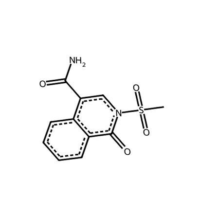 CS(=O)(=O)n1cc(C(N)=O)c2ccccc2c1=O